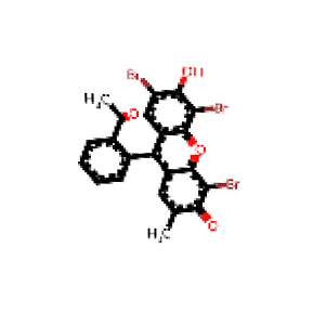 CC(=O)c1ccccc1-c1c2cc(C)c(=O)c(Br)c-2oc2c(Br)c(O)c(Br)cc12